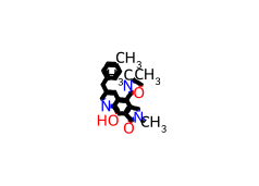 Cc1ccc(Cc2cnc3c(O)c4c(c(C5=NC(C)(C)CO5)c3c2)CN(C)C4=O)cc1